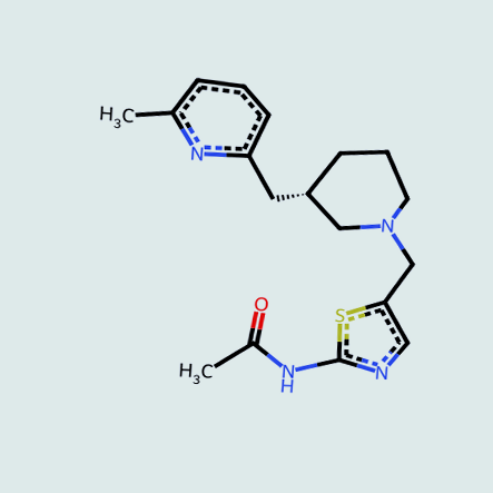 CC(=O)Nc1ncc(CN2CCC[C@@H](Cc3cccc(C)n3)C2)s1